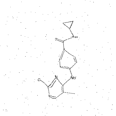 Cc1cnc(Cl)nc1Nc1ccc(C(=O)NC2CC2)cc1